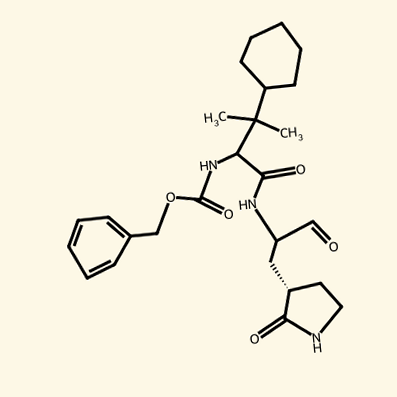 CC(C)(C1CCCCC1)C(NC(=O)OCc1ccccc1)C(=O)NC(C=O)C[C@@H]1CCNC1=O